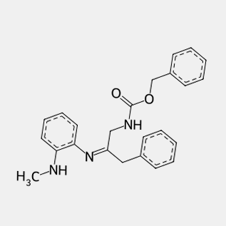 CNc1ccccc1N=C(CNC(=O)OCc1ccccc1)Cc1ccccc1